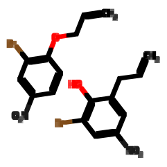 C=CCOc1ccc([N+](=O)[O-])cc1Br.C=CCc1cc([N+](=O)[O-])cc(Br)c1O